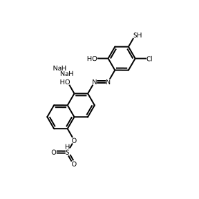 O=[SH](=O)Oc1cccc2c(O)c(N=Nc3cc(Cl)c(S)cc3O)ccc12.[NaH].[NaH]